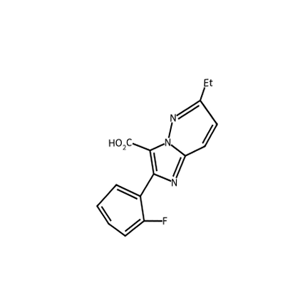 CCc1ccc2nc(-c3ccccc3F)c(C(=O)O)n2n1